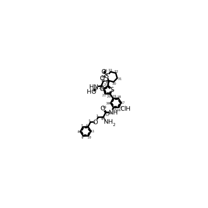 Cl.N[C@H](COCc1ccccc1)C(=O)Nc1cccc(-c2ccc([C@@]3(CC(=O)NO)CCCCS3(=O)=O)s2)c1